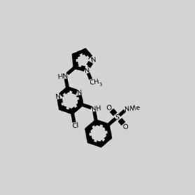 CNS(=O)(=O)c1ccccc1Nc1nc(Nc2ccnn2C)ncc1Cl